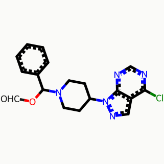 O=COC(c1ccccc1)N1CCC(n2ncc3c(Cl)ncnc32)CC1